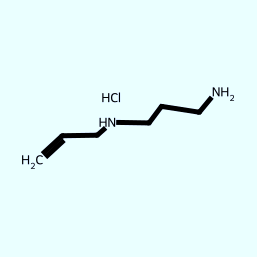 C=CCNCCCN.Cl